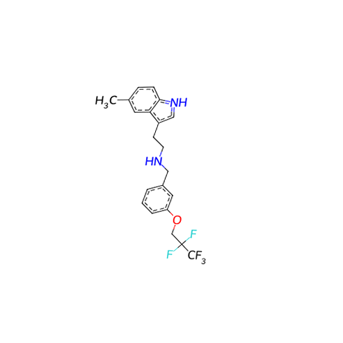 Cc1ccc2[nH]cc(CCNCc3cccc(OCC(F)(F)C(F)(F)F)c3)c2c1